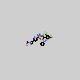 CC(=O)N1CCC(c2ccc(-c3nnc(CC(C(=O)Nc4ccc(F)cc4)c4ccc(C(F)(F)F)cc4C(F)(F)F)o3)nc2)C1